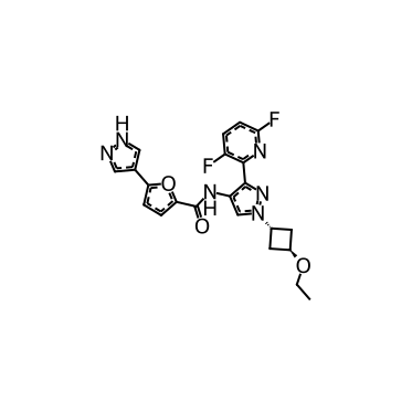 CCO[C@H]1C[C@H](n2cc(NC(=O)c3ccc(-c4cn[nH]c4)o3)c(-c3nc(F)ccc3F)n2)C1